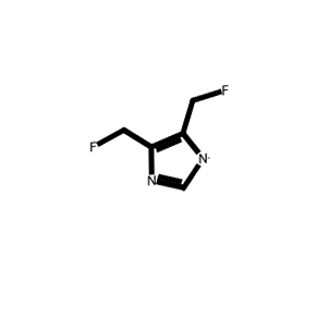 FCC1=C(CF)N=[C][N]1